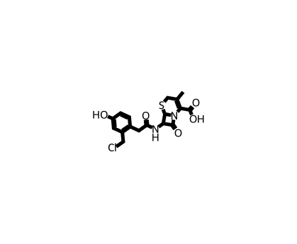 CC1=C(C(=O)O)N2C(=O)C(NC(=O)Cc3ccc(O)cc3CCl)C2SC1